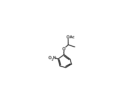 CC(=O)OC(C)Oc1ccccc1[N+](=O)[O-]